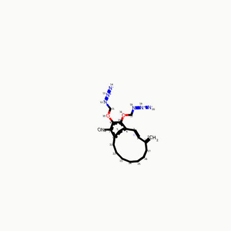 C=C1/C=C/c2cc(c(N=O)c(OCN=[N+]=[N-])c2OCN=[N+]=[N-])CCCCCCC1